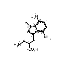 Cn1cc(CC(CN)C(=O)O)c2c(N)ccc([N+](=O)[O-])c21